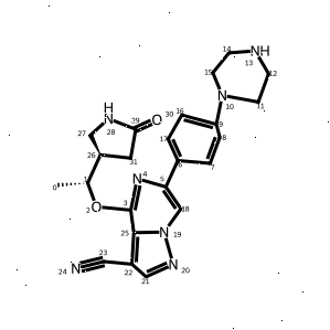 C[C@@H](Oc1nc(-c2ccc(N3CCNCC3)cc2)cn2ncc(C#N)c12)[C@H]1CNC(=O)C1